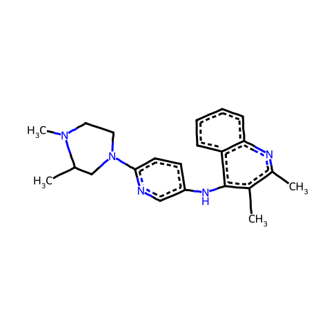 Cc1nc2ccccc2c(Nc2ccc(N3CCN(C)C(C)C3)nc2)c1C